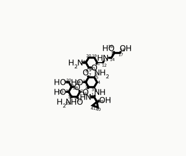 N=C(N[C@@H]1C[C@H](N)C(O[C@H]2O[C@H](CNCC(O)CO)CCC2N)C(O)C1O[C@H]1OC(CO)C(O)[C@H](N)C1O)C1(O)CC1